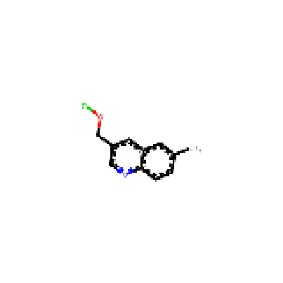 Bc1ccc2ncc(COCl)cc2c1